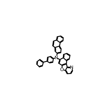 c1ccc(-c2ccc(N(c3ccc4c(ccc5ccccc54)c3)c3cc4oc5cccnc5c4c4ccccc34)cc2)cc1